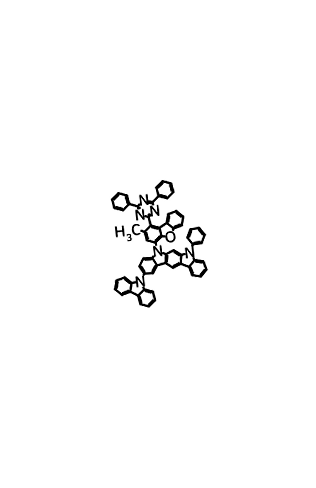 Cc1cc(-n2c3ccc(-n4c5ccccc5c5ccccc54)cc3c3cc4c5ccccc5n(-c5ccccc5)c4cc32)c2oc3ccccc3c2c1-c1nc(-c2ccccc2)nc(-c2ccccc2)n1